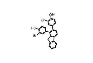 Oc1ccc(-c2ccc3c(c2-c2ccc(O)c(Br)c2)Cc2ccccc2-3)cc1Br